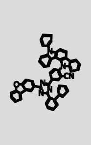 N#Cc1cc(-c2nc(-c3ccc4oc5ccccc5c4c3)nc(-c3ccccc3-c3ccccc3)n2)ccc1-n1c2ccccc2c2ccc3c(c4ccccc4n3-c3ccccc3)c21